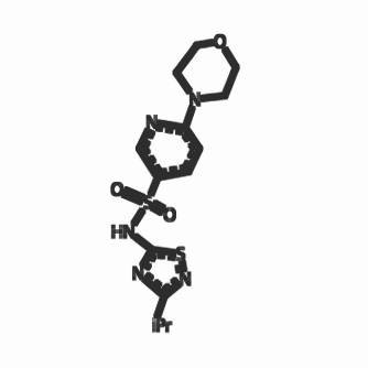 CC(C)c1nsc(NS(=O)(=O)c2ccc(N3CCOCC3)nc2)n1